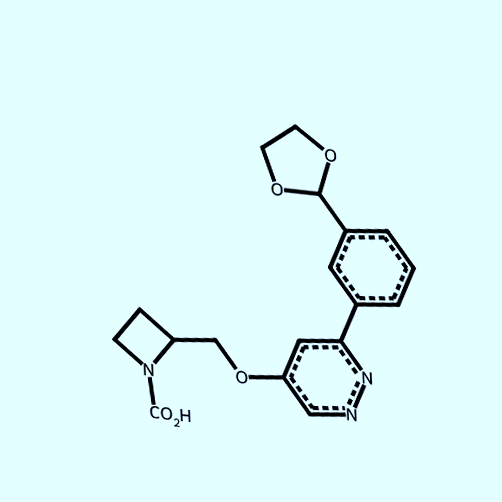 O=C(O)N1CCC1COc1cnnc(-c2cccc(C3OCCO3)c2)c1